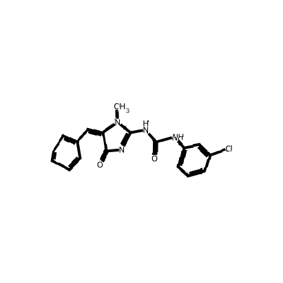 CN1C(=Cc2ccccc2)C(=O)N=C1NC(=O)Nc1cccc(Cl)c1